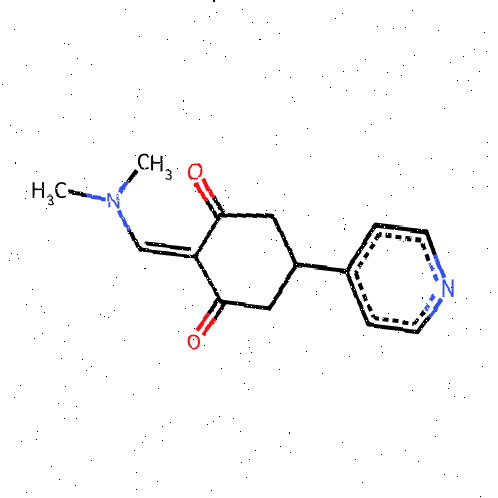 CN(C)C=C1C(=O)CC(c2ccncc2)CC1=O